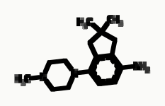 CN1CCN(c2ccc(N)c3c2CC(C)(C)C3)CC1